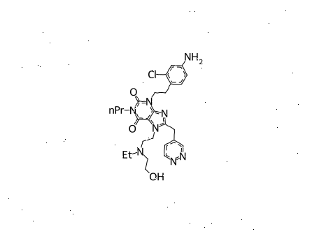 CCCn1c(=O)c2c(nc(Cc3ccnnc3)n2CCN(CC)CCO)n(CCc2ccc(N)cc2Cl)c1=O